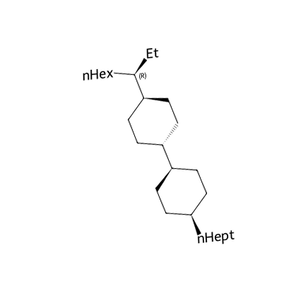 CCCCCCC[C@H]1CC[C@@H]([C@H]2CC[C@H]([C@H](CC)CCCCCC)CC2)CC1